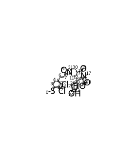 CSc1ccc(/C=C/C(=O)N2CCC(C(=O)N(C)[C@@H](Cc3ccc(O)cc3)C(=O)O)CC2)c(Cl)c1Cl